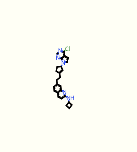 Clc1ncnc2c1ccn2C1C=C(CCc2ccc3ccc(NC4CCC4)nc3c2)CC1